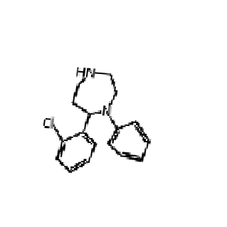 Clc1ccccc1C1CCNCCN1c1ccccc1